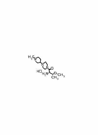 CO[C@H](C)[C@@H](N)C(=O)N1CCN(C2CCN(C)CC2)CC1.Cl